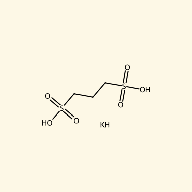 O=S(=O)(O)CCCS(=O)(=O)O.[KH]